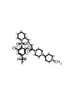 CN1CCC(N2CCN(C(=O)COCC3CCCCN3S(=O)(=O)c3c(Cl)cc(C(F)(F)F)cc3Cl)CC2)CC1